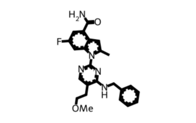 COCCc1cnc(-n2c(C)cc3c(C(N)=O)cc(F)cc32)nc1NCc1ccccc1